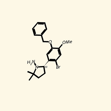 COc1cc(Br)c([C@@H]2CCC(C)(C)N2N)cc1OCc1ccccc1